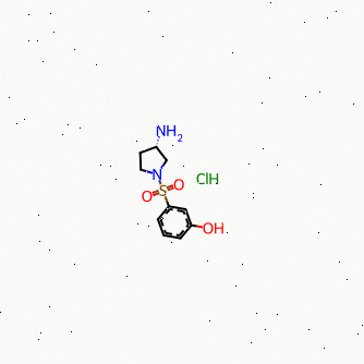 Cl.N[C@H]1CCN(S(=O)(=O)c2cccc(O)c2)C1